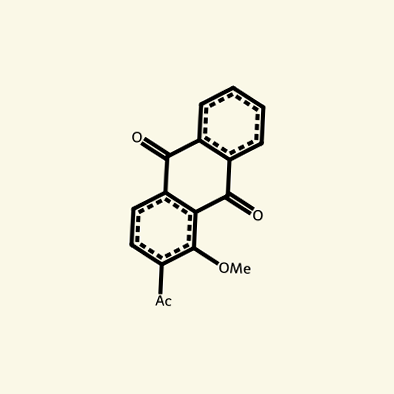 COc1c(C(C)=O)ccc2c1C(=O)c1ccccc1C2=O